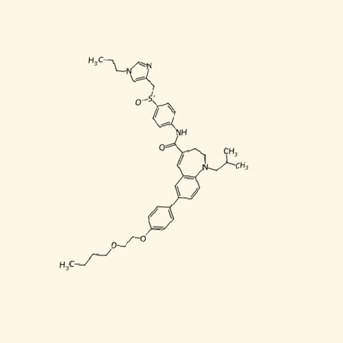 CCCCOCCOc1ccc(-c2ccc3c(c2)C=C(C(=O)Nc2ccc([S+]([O-])Cc4cn(CCC)cn4)cc2)CCN3CC(C)C)cc1